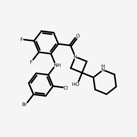 O=C(c1ccc(F)c(F)c1Nc1ccc(Br)cc1Cl)N1CC(O)(C2CCCCN2)C1